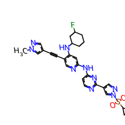 Cn1cc(C#Cc2cnc(Nc3ccnc(-c4cnn(S(=O)(=O)C5CC5)c4)n3)cc2NC2CCCC(F)C2)cn1